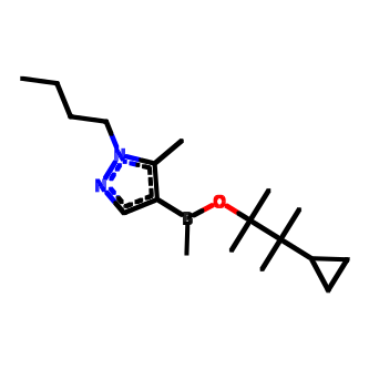 CCCCn1ncc(B(C)OC(C)(C)C(C)(C)C2CC2)c1C